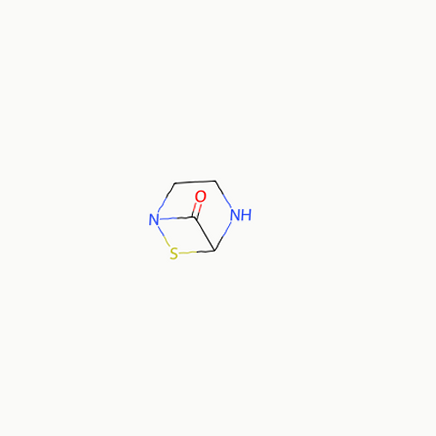 O=C1C2NCCN1S2